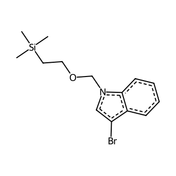 C[Si](C)(C)CCOCn1cc(Br)c2ccccc21